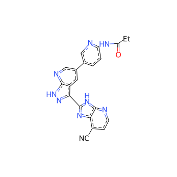 CCC(=O)Nc1ccc(-c2cnc3[nH]nc(-c4nc5c(C#N)ccnc5[nH]4)c3c2)cn1